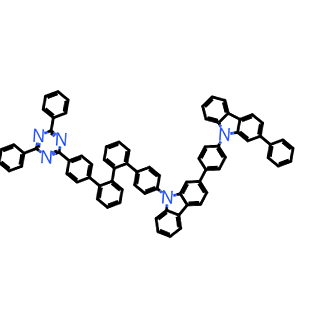 c1ccc(-c2ccc3c4ccccc4n(-c4ccc(-c5ccc6c7ccccc7n(-c7ccc(-c8ccccc8-c8ccccc8-c8ccc(-c9nc(-c%10ccccc%10)nc(-c%10ccccc%10)n9)cc8)cc7)c6c5)cc4)c3c2)cc1